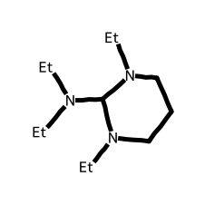 CCN(CC)C1N(CC)CCCN1CC